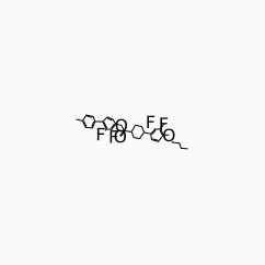 CCCCOc1ccc(C2CCC(C(=O)Oc3ccc(-c4ccc(C)cc4)c(F)c3F)CC2)c(F)c1F